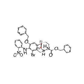 O=C(OCc1ccccc1)N1CC[C@@]23CCCC[C@@H]2[C@@H]1Cc1c3cc(OCc2ccccc2)c(Nc2ccccc2[N+](=O)[O-])c1Br